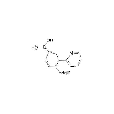 CCCCCCCc1ccc(B(O)O)cc1-c1ccccn1